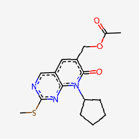 CSc1ncc2cc(COC(C)=O)c(=O)n(C3CCCC3)c2n1